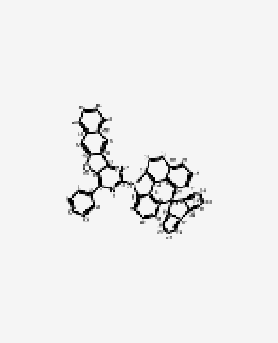 c1ccc(-c2nc(-n3c4cccc5c4c4c6c(cccc6ccc43)C53c4ccccc4-c4ccccc43)nc3c2oc2cc4ccccc4cc23)cc1